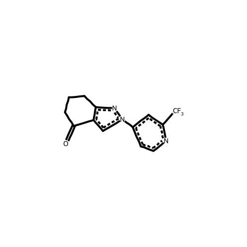 O=C1CCCc2nn(-c3ccnc(C(F)(F)F)c3)cc21